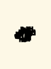 NCc1cc(Cl)cc(-c2nnc(O)o2)c1NC(=O)c1cn(-c2ncccc2Cl)nc1Br